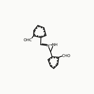 O=Cc1ccccc1C=[N+]1NC1c1ccccc1C=O